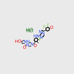 COc1ccc(-c2cnc3c(Nc4ccc(C(=O)N5CCN(C(=O)[C@@H]6C[C@@H](O)CN6)CC5)c(C)c4F)nccn23)c(F)c1F.Cl.Cl